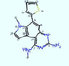 CNc1nc(N)nc2cc(-c3cccs3)c3c(ccn3C)c12